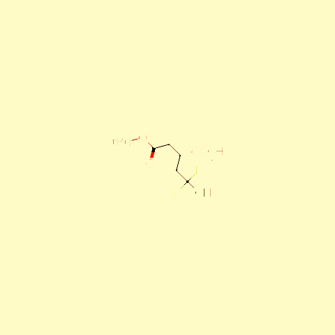 CC(F)(F)C[C@H](CC(=O)OC(C)(C)C)C(=O)O